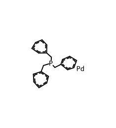 [Pd].c1ccc(CP(Cc2ccccc2)Cc2ccccc2)cc1